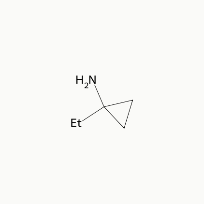 CCC1(N)CC1